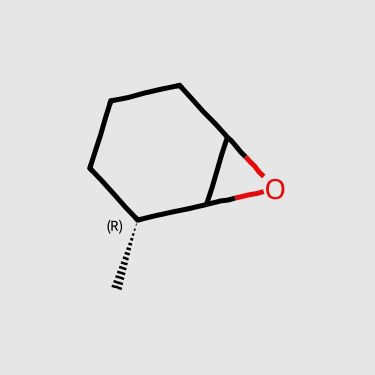 C[C@@H]1CCCC2OC21